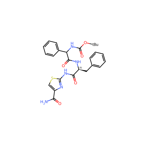 CC(C)(C)OC(=O)NC(C(=O)N[C@@H](Cc1ccccc1)C(=O)Nc1nc(C(N)=O)cs1)c1ccccc1